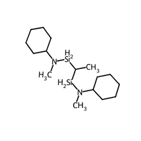 CC([SiH2]N(C)C1CCCCC1)[SiH2]N(C)C1CCCCC1